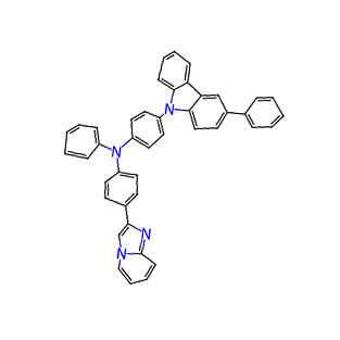 c1ccc(-c2ccc3c(c2)c2ccccc2n3-c2ccc(N(c3ccccc3)c3ccc(-c4cn5ccccc5n4)cc3)cc2)cc1